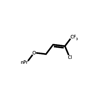 [CH2]CCOCC=C(Cl)C(F)(F)F